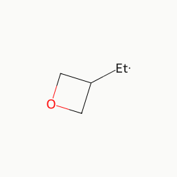 C[CH]C1COC1